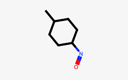 CC1CCC(N=O)CC1